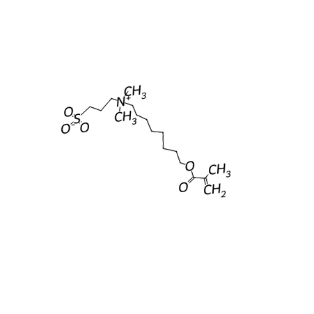 C=C(C)C(=O)OCCCCCCCC[N+](C)(C)CCCS(=O)(=O)[O-]